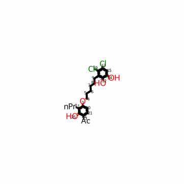 CCCc1c(OCCCCCCc2c(O)c(O)cc(Cl)c2Cl)ccc(C(C)=O)c1O